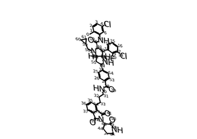 Cc1ccc(Cl)cc1NC(=O)[C@H]1[C@@H](c2cccc(Cl)c2F)[C@@H]2N[C@@H](c3ccc(C(=O)NCCCc4cccc5c4C(=O)N(C4CCC(=O)NC4=O)C5=O)cc3)C[C@@H]2N1CC1CC1